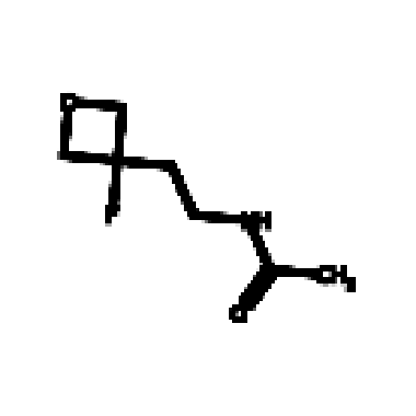 CC(=O)NCCC1(F)COC1